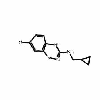 Clc1ccc2c(c1)SN=C(NCC1CC1)N2